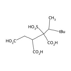 CC(C(C)(C)C)C(C(=O)O)(C(CC(=O)O)C(=O)O)S(=O)(=O)O